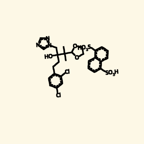 CC(C)(C1OCCO1)C(O)(CCc1ccc(Cl)cc1Cl)Cn1cncn1.O=S(=O)(O)c1cccc2c(S(=O)(=O)O)cccc12